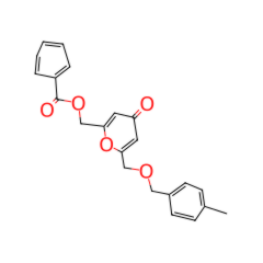 Cc1ccc(COCc2cc(=O)cc(COC(=O)c3ccccc3)o2)cc1